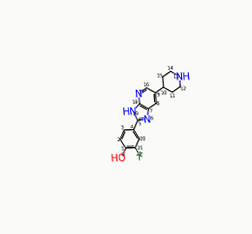 Oc1ccc(-c2nc3cc(C4CCNCC4)cnc3[nH]2)cc1F